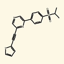 CC(C)S(=O)(=O)c1ccc(-c2cncc(C#Cc3cccs3)n2)cc1